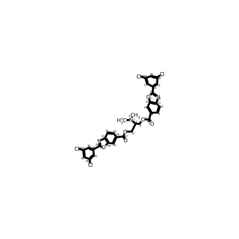 CN(C)C(COC(=O)c1ccc2nc(-c3cc(Cl)cc(Cl)c3)oc2c1)COC(=O)c1ccc2nc(-c3cc(Cl)cc(Cl)c3)oc2c1